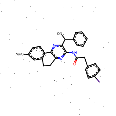 COc1ccc2c(c1)CCc1nc(NC(=O)Cc3ccc(I)cc3)c(C(N=O)c3ccccc3)nc1-2